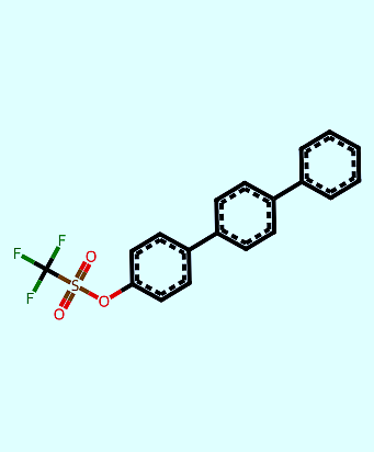 O=S(=O)(Oc1ccc(-c2ccc(-c3ccccc3)cc2)cc1)C(F)(F)F